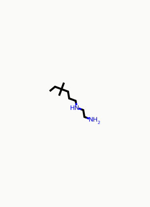 CCC(C)(C)CCCNCCN